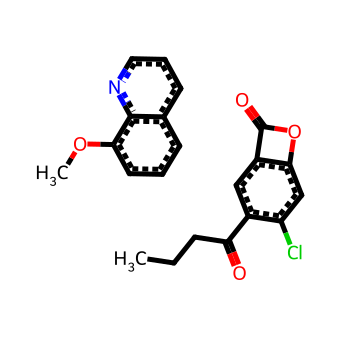 CCCC(=O)c1cc2c(cc1Cl)OC2=O.COc1cccc2cccnc12